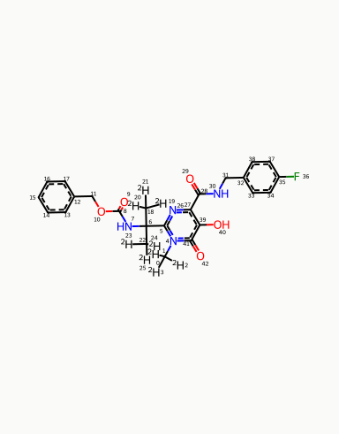 [2H]C([2H])([2H])n1c(C(NC(=O)OCc2ccccc2)(C([2H])([2H])[2H])C([2H])([2H])[2H])nc(C(=O)NCc2ccc(F)cc2)c(O)c1=O